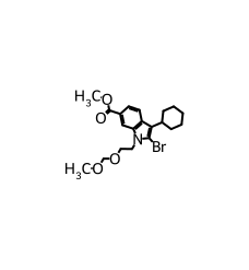 COCOCCn1c(Br)c(C2CCCCC2)c2ccc(C(=O)OC)cc21